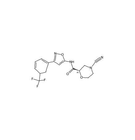 N#CN1CCO[C@@H](C(=O)Nc2cc(C3=CC=CC(C(F)(F)F)C3)no2)C1